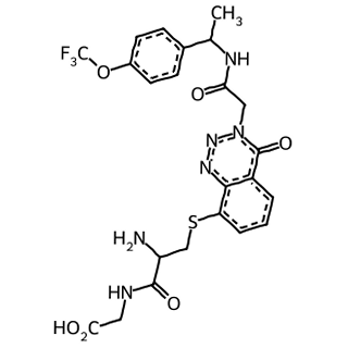 CC(NC(=O)Cn1nnc2c(SCC(N)C(=O)NCC(=O)O)cccc2c1=O)c1ccc(OC(F)(F)F)cc1